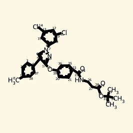 Cc1ccc(-c2cn(-c3cc(Cl)cc(Cl)c3)nc2Oc2ccc(C(=O)NCCC(=O)OC(C)(C)C)cc2)cc1